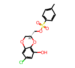 Cc1ccc(S(=O)(=O)OC[C@H]2COc3cc(Cl)cc(O)c3O2)cc1